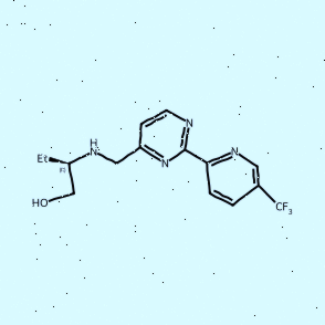 CC[C@H](CO)NCc1ccnc(-c2ccc(C(F)(F)F)cn2)n1